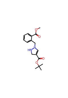 COC(=O)c1ccccc1CN1C=C(C(=O)OC(C)(C)C)CN1